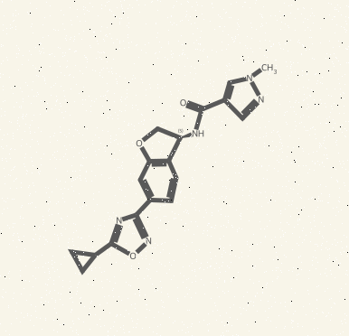 Cn1cc(C(=O)N[C@@H]2COc3cc(-c4noc(C5CC5)n4)ccc32)cn1